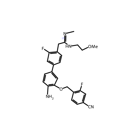 C/N=C(/Cc1ccc(-c2ccc(N)c(OCc3ccc(C#N)cc3F)c2)cc1F)NCCOC